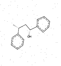 C[C@H](C[C@@H](O)c1ccccc1)c1ccccc1